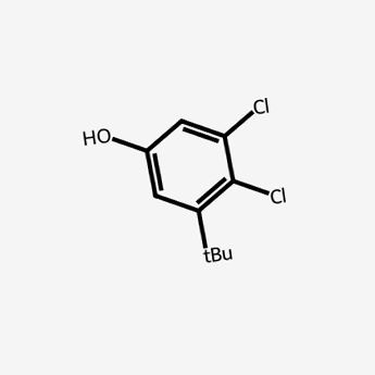 CC(C)(C)c1cc(O)cc(Cl)c1Cl